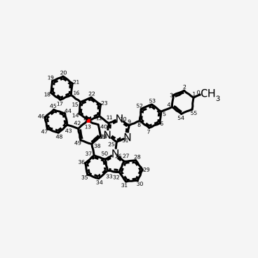 CC1C=CC(c2ccc(-c3nc(-c4ccc(-c5ccccc5)cc4)nc(-n4c5ccccc5c5cccc(C6=CCCC(c7ccccc7)=C6)c54)n3)cc2)=CC1